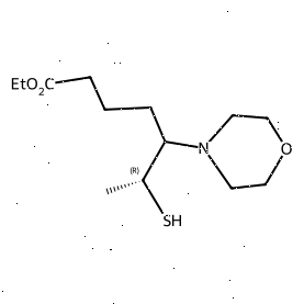 CCOC(=O)CCCC([C@@H](C)S)N1CCOCC1